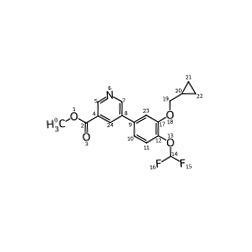 COC(=O)c1cncc(-c2ccc(OC(F)F)c(OCC3CC3)c2)c1